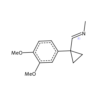 C/N=C/C1(c2ccc(OC)c(OC)c2)CC1